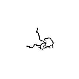 CCCC[Si]1(CCCC)CCCO[SiH2]1